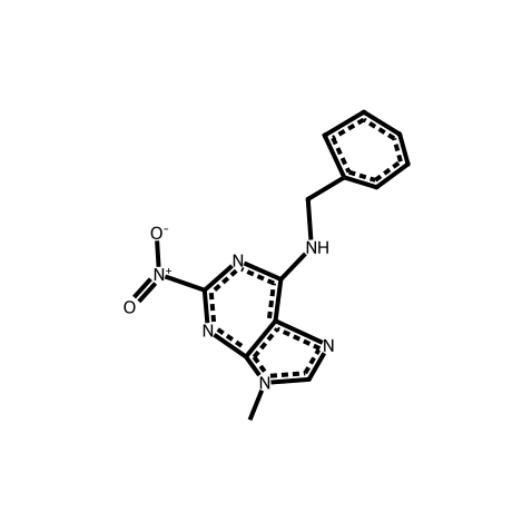 Cn1cnc2c(NCc3ccccc3)nc([N+](=O)[O-])nc21